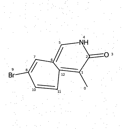 Cc1c(=O)[nH]cc2cc(Br)ccc12